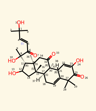 CC(C)(O)/C=C/C(=O)C(C)(O)[C@H]1C(O)C[C@@]2(C)[C@@H]3CC=C4[C@@H](C=C(O)C(=O)C4(C)C)[C@]3(C)C(=O)C[C@]12C